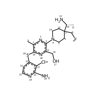 Cc1nc(N2CCC(CF)([C@@H](C)N)CC2)c(CO)nc1Sc1ccnc(N)c1Cl